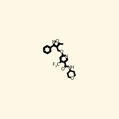 Cc1onc(-c2ccccc2)c1COc1cc(C(F)(F)F)c(C(=O)NC2CCOCC2)cn1